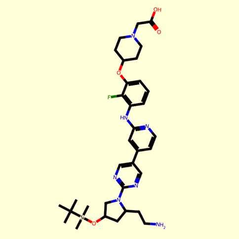 CC(C)(C)[Si](C)(C)OC1CC(CCN)N(c2ncc(-c3ccnc(Nc4cccc(OC5CCN(CC(=O)O)CC5)c4F)c3)cn2)C1